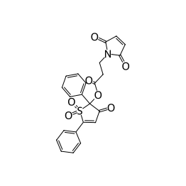 O=C(CCN1C(=O)C=CC1=O)OC1(c2ccccc2)C(=O)C=C(c2ccccc2)S1(=O)=O